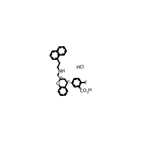 Cl.O=C(O)c1cc([C@H]2C[C@H](CNCCc3cccc4ccccc34)Oc3ccccc32)ccc1F